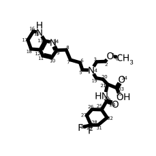 COCCN(CCCCc1ccc2c(n1)NCCC2)CCC(NC(=O)C1CCC(F)(F)CC1)C(=O)O